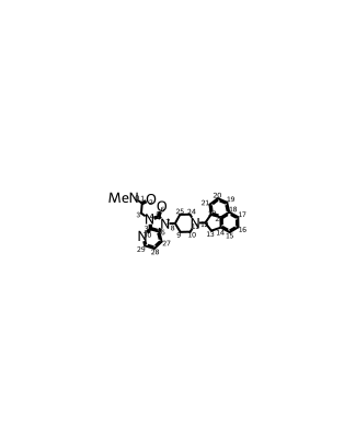 CNC(=O)Cn1c(=O)n(C2CCN(C3Cc4cccc5cccc3c45)CC2)c2cccnc21